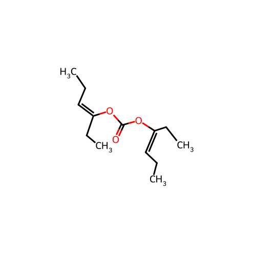 CCC=C(CC)OC(=O)OC(=CCC)CC